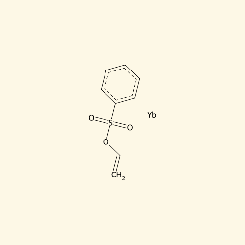 C=COS(=O)(=O)c1ccccc1.[Yb]